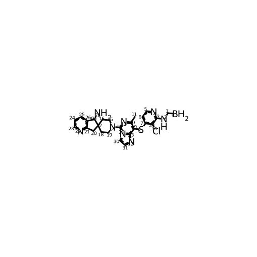 BCNc1nccc(Sc2c(C)nc(N3CCC4(CC3)Cc3ncccc3[C@H]4N)n3ccnc23)c1Cl